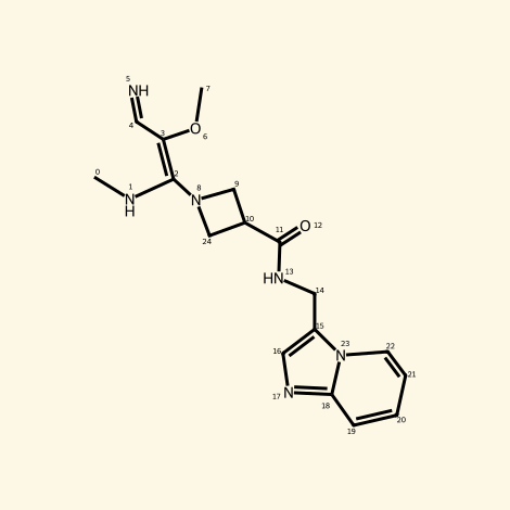 CN/C(=C(\C=N)OC)N1CC(C(=O)NCc2cnc3ccccn23)C1